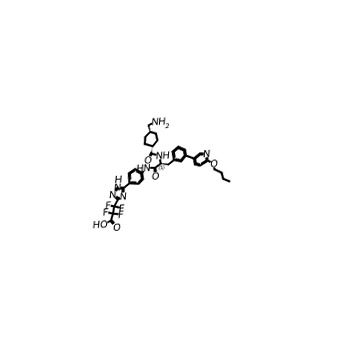 CCCCOc1ccc(-c2cccc(C[C@H](NC(=O)[C@H]3CC[C@H](CN)CC3)C(=O)Nc3ccc(-c4nc(C(F)(F)C(F)(F)C(=O)O)n[nH]4)cc3)c2)cn1